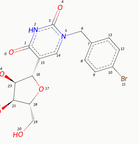 O=c1[nH]c(=O)n(Cc2ccc(Br)cc2)cc1[C@@H]1O[C@H](CO)[C@@H](O)[C@H]1O